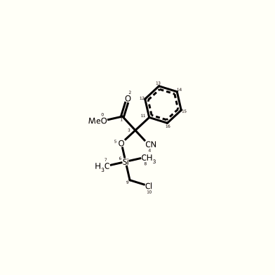 COC(=O)C(C#N)(O[Si](C)(C)CCl)c1ccccc1